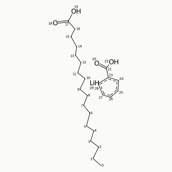 CCCCCCCCCCCCCCCCCC(=O)O.O=C(O)c1ccccc1.[LiH]